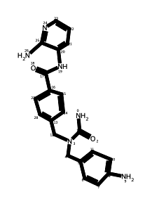 NC(=O)N(Cc1ccc(N)cc1)Cc1ccc(C(=O)Nc2cccnc2N)cc1